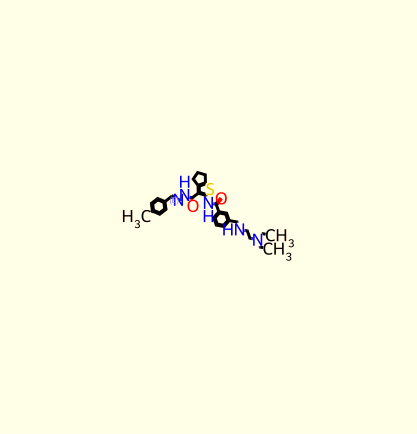 CCN(CC)CCNCc1cccc(C(=O)Nc2sc3c(c2C(=O)N/N=C/c2ccc(C)cc2)CCC3)c1